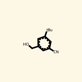 CC(C)(C)c1cc(C#N)cc([CH]O)c1